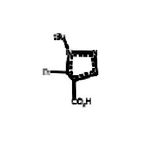 CCc1c(C(=O)O)cnn1C(C)(C)C